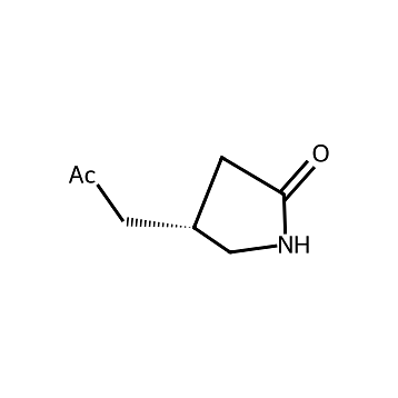 CC(=O)C[C@H]1CNC(=O)C1